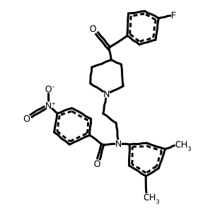 Cc1cc(C)cc(N(CCN2CCC(C(=O)c3ccc(F)cc3)CC2)C(=O)c2ccc([N+](=O)[O-])cc2)c1